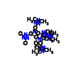 Cc1nc(C)nc(-c2ccc3c(c2)c2cc(-c4nc(C)nc(C)n4)ccc2n3-c2ccc(-c3nc(-c4ccccc4)nc(-c4ccccc4)n3)cc2-c2ccc(-n3c4ccc(-c5nc(C)nc(C)n5)cc4c4cc(-c5nc(C)nc(C)n5)ccc43)c(-c3ccc(C#N)cc3)c2)n1